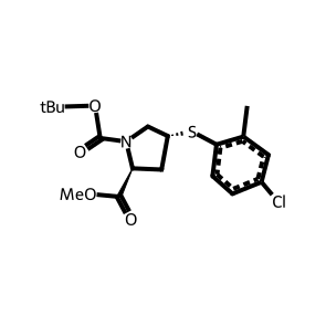 COC(=O)[C@@H]1C[C@@H](Sc2ccc(Cl)cc2C)CN1C(=O)OC(C)(C)C